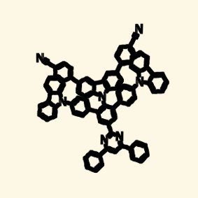 N#Cc1ccc(-c2ccc3c(c2)c2cc(-c4ccc(C#N)cc4)ccc2n3-c2c(-c3ccc(-n4c5ccccc5c5ccccc54)cc3)cc(-c3nc(-c4ccccc4)cc(-c4ccccc4)n3)cc2-c2ccc(-n3c4ccccc4c4ccccc43)cc2)cc1